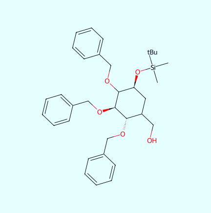 CC(C)(C)[Si](C)(C)O[C@H]1CC(CO)[C@H](OCc2ccccc2)[C@@H](OCc2ccccc2)C1OCc1ccccc1